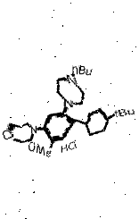 CCCCN1CCN(c2cc(N3CCOCC3)c(OC)cc2C2CCC(C(C)(C)C)CC2)CC1.Cl